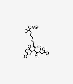 CCC(C1CC(=O)OC1=O)C(/C=C/CCCCCC(=O)OC)C1CC(=O)OC1=O